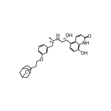 C[C@H](Cc1cccc(OCCC23CC4CC(CC2C4)C3)c1)NC[C@H](O)c1ccc(O)c2[nH]c(=O)ccc12